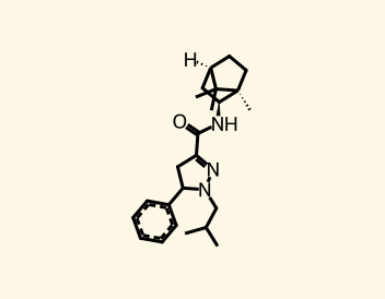 CC(C)CN1N=C(C(=O)N[C@H]2C[C@H]3CC[C@]2(C)C3(C)C)CC1c1ccccc1